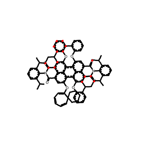 CC(C)c1cccc(C(C)C)c1N1C(=O)c2cc(OC3=CC=CC=CC34CCCCC4)c3c4c(Oc5ccccc5C5CCCCC5)cc5c6c(cc(Oc7ccccc7C7CCCCC7)c(c7c(Oc8ccccc8C8CCCCC8)cc(c2c37)C1=O)c64)C(=O)N(c1c(C(C)C)cccc1C(C)C)C5=O